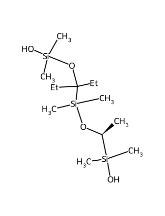 CCC(CC)(O[Si](C)(C)O)[Si](C)(C)O[C@@H](C)[Si](C)(C)O